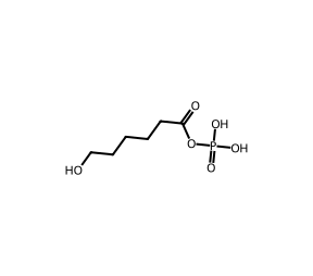 O=C(CCCCCO)OP(=O)(O)O